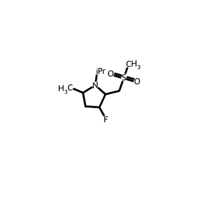 CC(C)N1C(C)CC(F)C1CS(C)(=O)=O